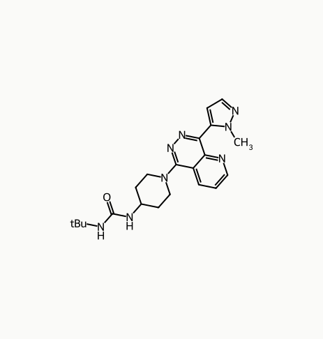 Cn1nccc1-c1nnc(N2CCC(NC(=O)NC(C)(C)C)CC2)c2cccnc12